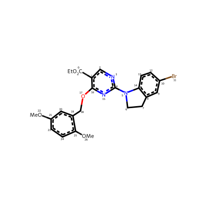 CCOC(=O)c1cnc(N2CCc3cc(Br)ccc32)nc1OCc1cc(OC)ccc1OC